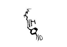 [N-]=[N+]=NCCNCc1ccc(N=O)cc1